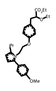 CCOC(=O)C(Cc1ccc(OCCn2c(-c3ccc(OC)cc3)ccc2C(C)C)cc1)OCC